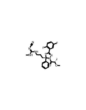 CN/C(=N/C#N)NCCC[C@@]1(c2ccccc2)SC(c2cc(F)ccc2F)=NN1C(=O)[C@H](I)OC